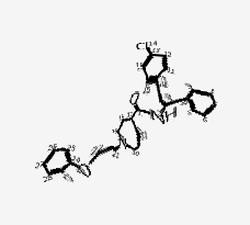 O=C(N[C@H](c1ccccc1)c1ccc(Cl)cc1)C1CCN(CCOc2ccccc2)CC1